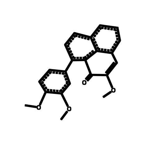 COC1=Cc2cccc3ccc(-c4ccc(OC)c(OC)c4)c(c23)C1=O